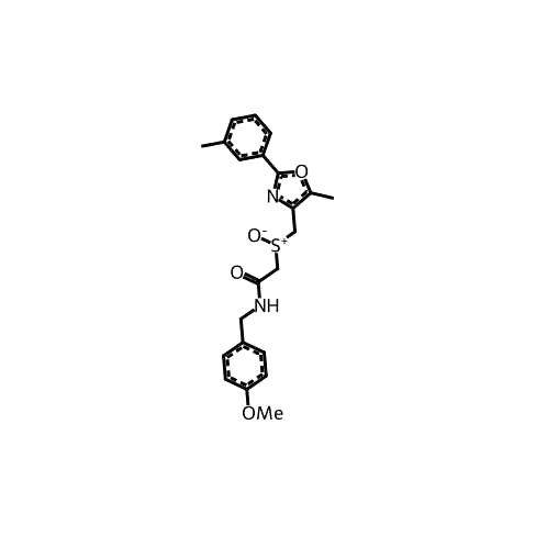 COc1ccc(CNC(=O)C[S+]([O-])Cc2nc(-c3cccc(C)c3)oc2C)cc1